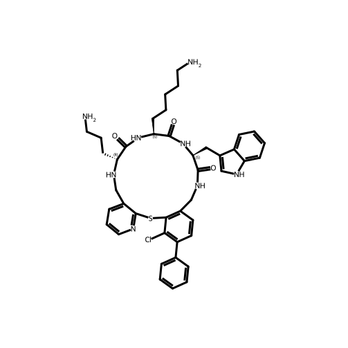 NCCCCC[C@@H]1NC(=O)[C@@H](CCCN)NCc2cccnc2Sc2c(ccc(-c3ccccc3)c2Cl)CNC(=O)[C@H](Cc2c[nH]c3ccccc23)NC1=O